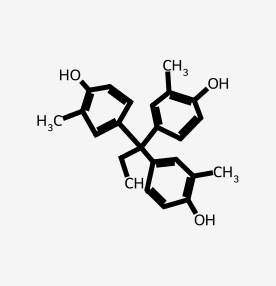 CCC(c1ccc(O)c(C)c1)(c1ccc(O)c(C)c1)c1ccc(O)c(C)c1